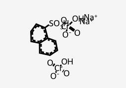 O=S(=O)(O)c1cccc2ccccc12.[Na+].[Na+].[O]=[Cr](=[O])([O-])[OH].[O]=[Cr](=[O])([O-])[OH]